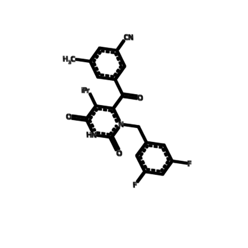 Cc1cc(C#N)cc(C(=O)c2c(C(C)C)c(=O)[nH]c(=O)n2Cc2cc(F)cc(F)c2)c1